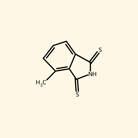 Cc1cccc2c1C(=S)NC2=S